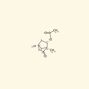 CC(=O)O[C@H]1C[C@@H]2CC(=O)[C@@]1(C)C2